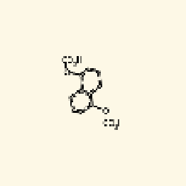 O=C(O)Oc1cccc2c(OC(=O)O)cccc12